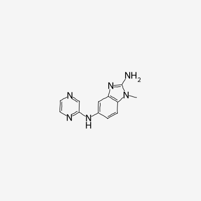 Cn1c(N)nc2cc(Nc3cnccn3)ccc21